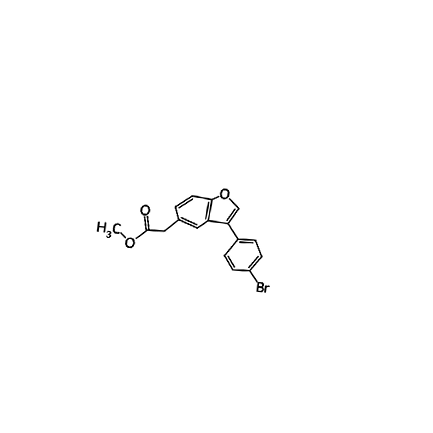 COC(=O)Cc1ccc2occ(-c3ccc(Br)cc3)c2c1